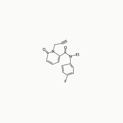 C#CCn1c(C(=O)N(CC)c2ccc(F)cc2)cccc1=O